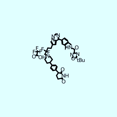 CC(C)(C)c1nc(C(=O)NCc2ccc(-c3ncnn4cc(CCC(F)(F)CN5CCC(c6ccc(C7CCC(=O)NC7=O)cc6)CC5)cc34)cc2F)no1.O=C(O)C(F)(F)F